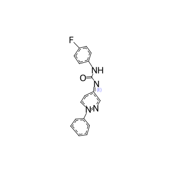 O=C(/N=c1\ccn(-c2ccccc2)nc1)Nc1ccc(F)cc1